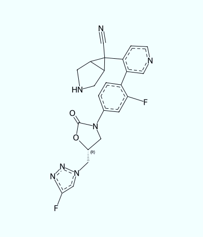 N#CC1(c2ccncc2-c2ccc(N3C[C@H](Cn4cc(F)nn4)OC3=O)cc2F)C2CNCC21